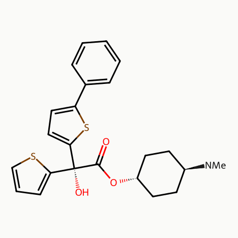 CN[C@H]1CC[C@H](OC(=O)[C@@](O)(c2cccs2)c2ccc(-c3ccccc3)s2)CC1